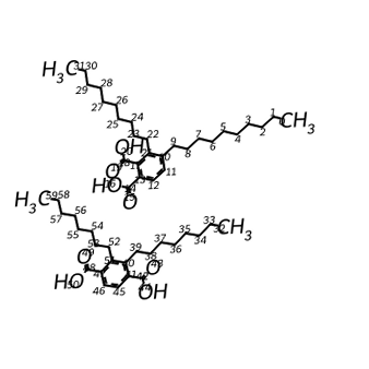 CCCCCCCCCCc1ccc(C(=O)O)c(C(=O)O)c1CCCCCCCCCC.CCCCCCCCc1c(C(=O)O)ccc(C(=O)O)c1CCCCCCCC